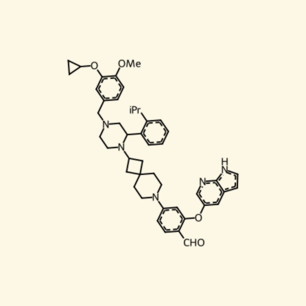 COc1ccc(CN2CCN(C3CC4(CCN(c5ccc(C=O)c(Oc6cnc7[nH]ccc7c6)c5)CC4)C3)C(c3ccccc3C(C)C)C2)cc1OC1CC1